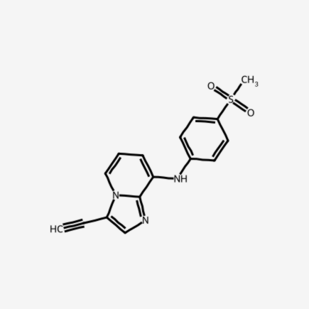 C#Cc1cnc2c(Nc3ccc(S(C)(=O)=O)cc3)cccn12